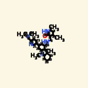 Cc1cc(C)c(CNCc2cc(-c3ccc(CN(C)C)nc3)cc(N(C)C3CCCCC3)c2C)c(=O)[nH]1